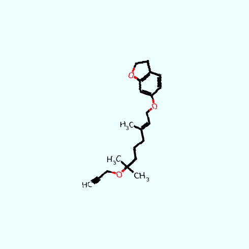 C#CCOC(C)(C)CCC/C(C)=C/COc1ccc2c(c1)OCC2